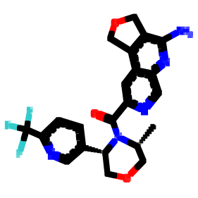 C[C@@H]1COC[C@H](c2ccc(C(F)(F)F)nc2)N1C(=O)c1cc2c3c(c(N)nc2cn1)COC3